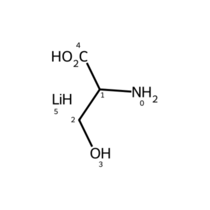 NC(CO)C(=O)O.[LiH]